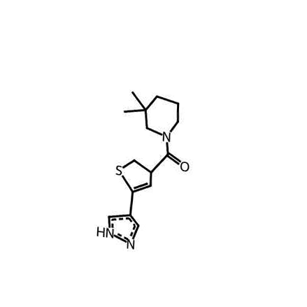 CC1(C)CCCN(C(=O)C2C=C(c3cn[nH]c3)SC2)C1